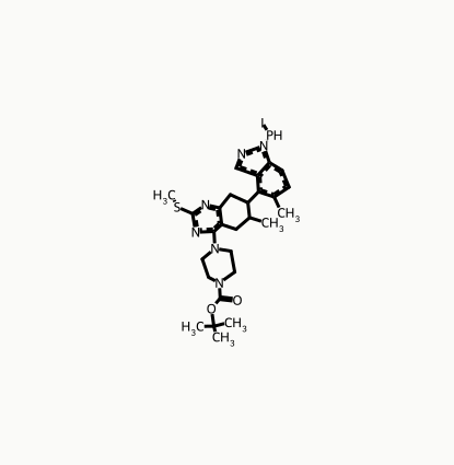 CSc1nc2c(c(N3CCN(C(=O)OC(C)(C)C)CC3)n1)CC(C)C(c1c(C)ccc3c1cnn3PI)C2